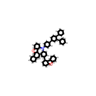 c1ccc(-c2ccc(-c3ccc(N(c4ccc(-c5cccc6oc7ccccc7c56)cc4)c4cccc5oc6c7ccccc7ccc6c45)cc3)cc2-c2ccccc2)cc1